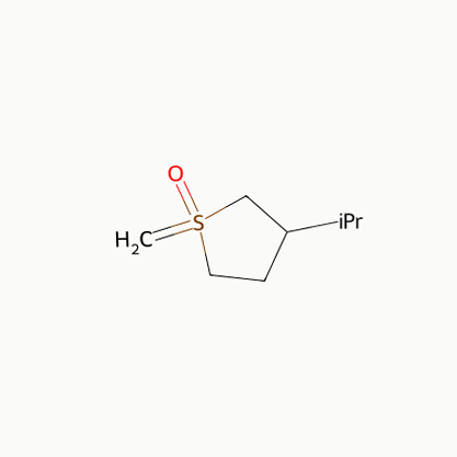 C=S1(=O)CCC(C(C)C)C1